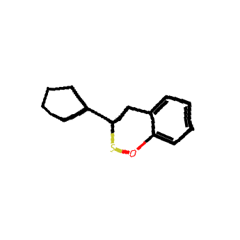 c1ccc2c(c1)CC(C1CCCC1)SO2